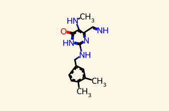 CNc1c(C=N)nc(NCc2ccc(C)c(C)c2)[nH]c1=O